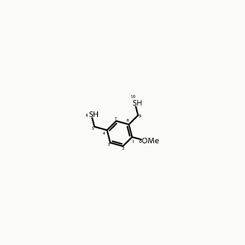 COc1ccc(CS)cc1CS